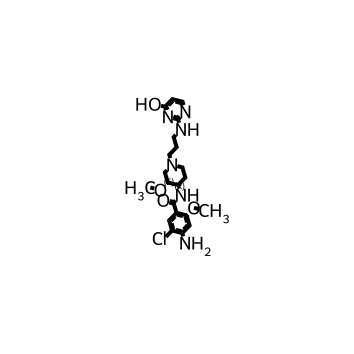 COc1cc(N)c(Cl)cc1C(=O)N[C@@H]1CCN(CCCNc2nccc(O)n2)C[C@@H]1OC